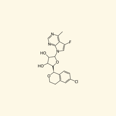 Cc1ncnc2c1c(F)cn2C1OC([C@@H]2OCCc3cc(Cl)ccc32)C(O)C1O